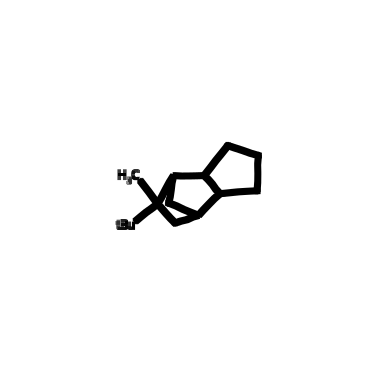 CC(C)(C)C1(C)CC2CC1C1CCCC21